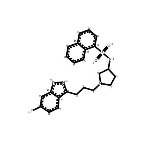 O=S(=O)(NC1CCN(CCCc2noc3cc(F)ccc23)C1)c1cccc2ccccc12